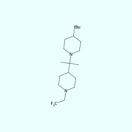 CC(C)(C)C1CCN(C(C)(C)C2CCN(CC(F)(F)F)CC2)CC1